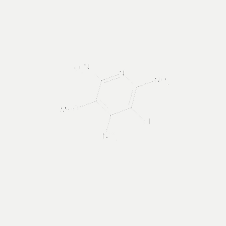 COc1c([N+](=O)[O-])nc([N+](=O)[O-])c(Cl)c1[N+](=O)[O-]